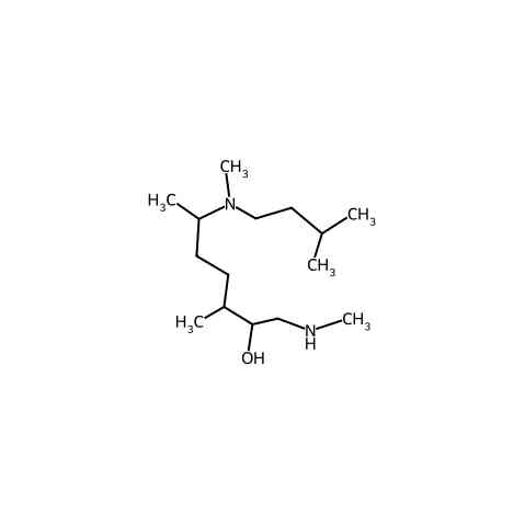 CNCC(O)C(C)CCC(C)N(C)CCC(C)C